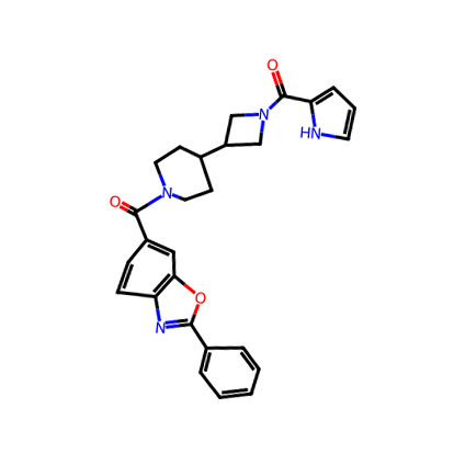 O=C(c1ccc2nc(-c3ccccc3)oc2c1)N1CCC(C2CN(C(=O)c3ccc[nH]3)C2)CC1